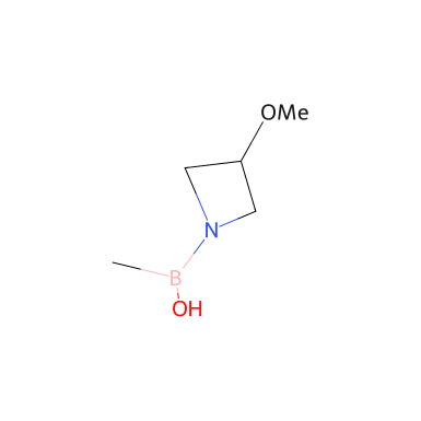 COC1CN(B(C)O)C1